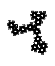 c1ccc(N(c2ccc(-c3ccc4c(c3)c3cc(-c5ccc(-c6cccc7c6oc6ccccc67)cc5)ccc3n4-c3ccc4c5ccccc5c5ccccc5c4c3)cc2)c2cccc3ccccc23)cc1